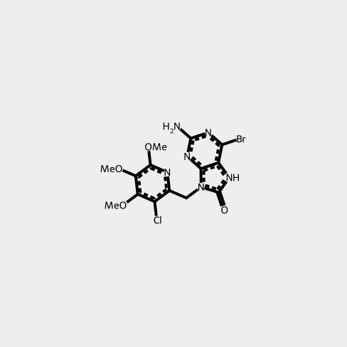 COc1nc(Cn2c(=O)[nH]c3c(Br)nc(N)nc32)c(Cl)c(OC)c1OC